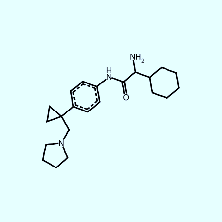 NC(C(=O)Nc1ccc(C2(CN3CCCC3)CC2)cc1)C1CCCCC1